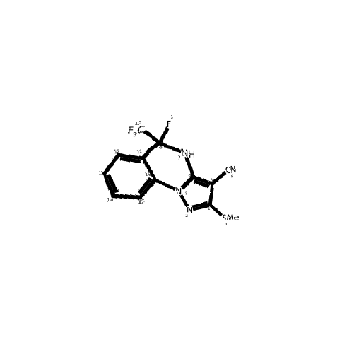 CSc1nn2c(c1C#N)NC(F)(C(F)(F)F)c1ccccc1-2